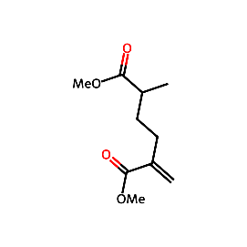 C=C(CCC(C)C(=O)OC)C(=O)OC